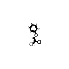 ClC(Cl)=COc1ccccc1